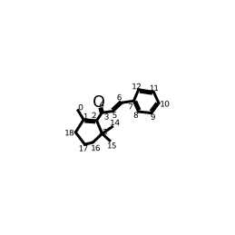 CC1=C(C(=O)C=Cc2ccccc2)C(C)(C)CCC1